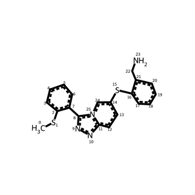 CSc1ccccc1-c1nnc2ccc(Sc3ccccc3CN)cn12